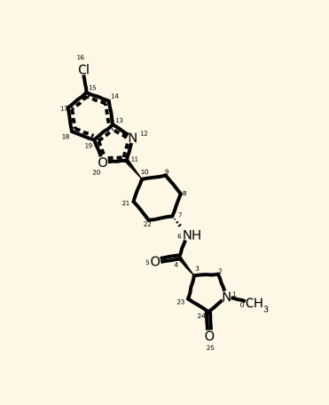 CN1C[C@H](C(=O)N[C@H]2CC[C@H](c3nc4cc(Cl)ccc4o3)CC2)CC1=O